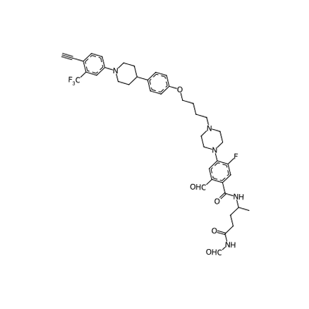 C#Cc1ccc(N2CCC(c3ccc(OCCCCN4CCN(c5cc(C=O)c(C(=O)NC(C)CCC(=O)NC=O)cc5F)CC4)cc3)CC2)cc1C(F)(F)F